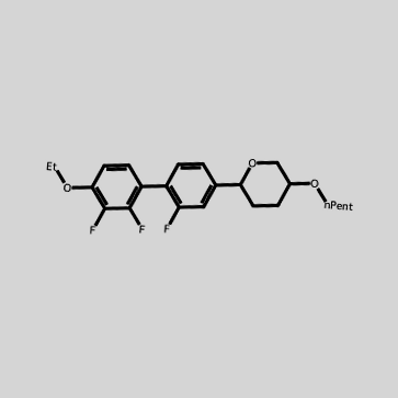 CCCCCOC1CCC(c2ccc(-c3ccc(OCC)c(F)c3F)c(F)c2)OC1